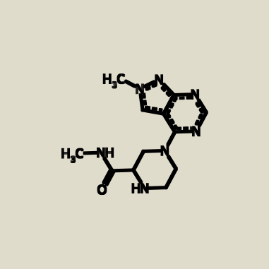 CNC(=O)C1CN(c2ncnc3nn(C)cc23)CCN1